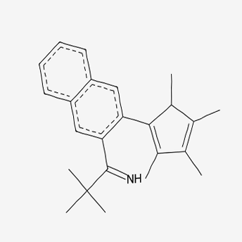 CC1=C(C)C(C)C(c2cc3ccccc3cc2C(=N)C(C)(C)C)=C1C